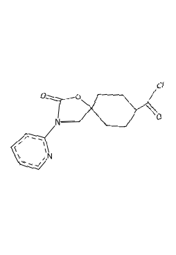 O=C(Cl)C1CCC2(CC1)CN(c1ccccn1)C(=O)O2